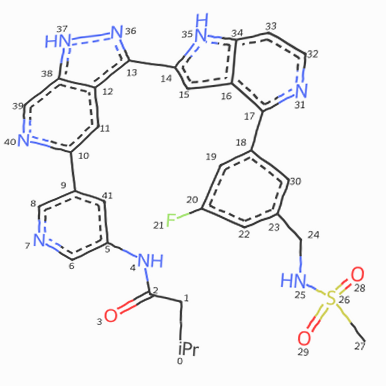 CC(C)CC(=O)Nc1cncc(-c2cc3c(-c4cc5c(-c6cc(F)cc(CNS(C)(=O)=O)c6)nccc5[nH]4)n[nH]c3cn2)c1